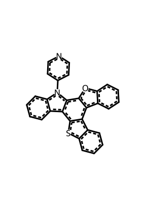 c1ccc2c(c1)oc1c2c2c3ccccc3sc2c2c3ccccc3n(-c3ccncc3)c12